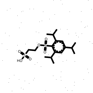 CC(C)c1cc(C(C)C)c(S(=O)(=O)OCCS(=O)(=O)O)c(C(C)C)c1